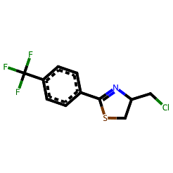 FC(F)(F)c1ccc(C2=NC(CCl)CS2)cc1